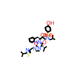 CC(C)CN(C[C@@H](O)[C@H](Cc1ccccc1)NC(=O)[C@H](C(C)C)N1CCN(Cc2csc(C(C)C)n2)C1=O)S(=O)(=O)c1ccc(O)cc1